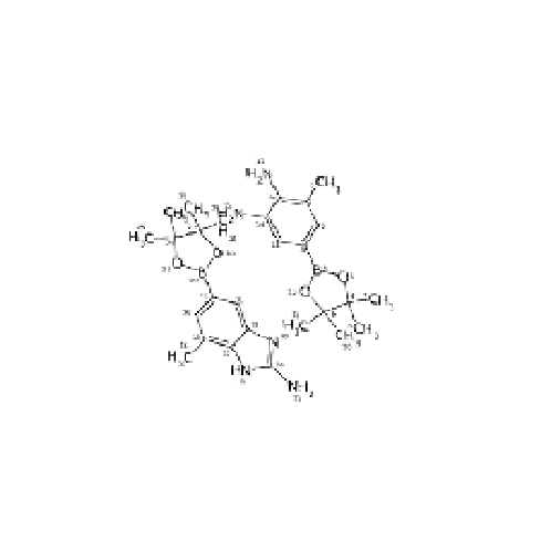 Cc1cc(B2OC(C)(C)C(C)(C)O2)cc(N)c1N.Cc1cc(B2OC(C)(C)C(C)(C)O2)cc2nc(N)[nH]c12